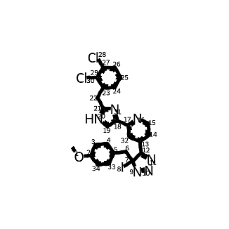 COc1ccc(CC2(I)N=NN=C2c2ccnc(-c3c[nH]c(Cc4cccc(Cl)c4Cl)n3)c2)cc1